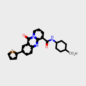 O=C(NC1CCC(C(=O)O)CC1)c1cccn2c(=O)c3cc(-c4cccs4)ccc3nc12